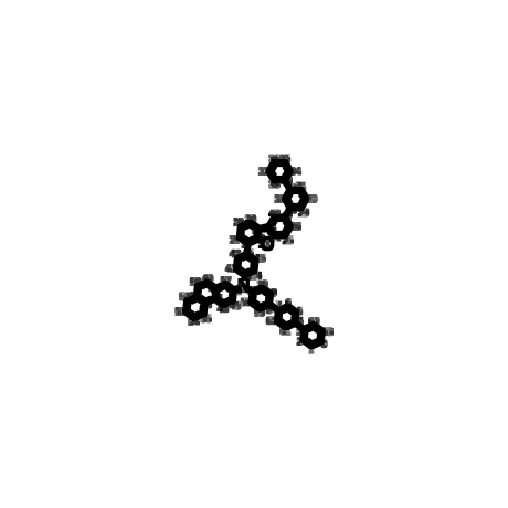 c1ccc(-c2ccc(-c3ccc(N(c4ccc(-c5cccc6c5oc5ccc(-c7cccc(-c8ccccc8)c7)cc56)cc4)c4ccc5c(ccc6ccccc65)c4)cc3)cc2)cc1